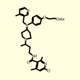 COCCOc1ccc(N(Cc2cnccc2C)C2CCN(C(C)CCNC(=O)c3c(C)cc(Cl)nc3C)CC2)cc1